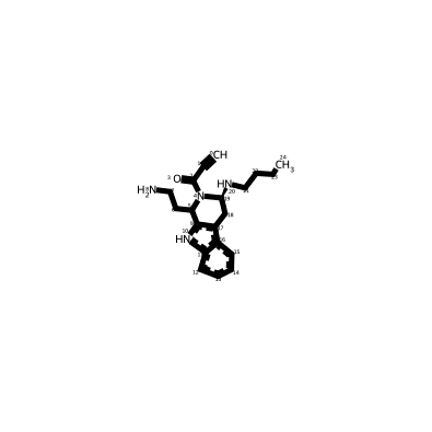 C#CC(=O)N1C(CCN)c2[nH]c3ccccc3c2C[C@@H]1NCCCC